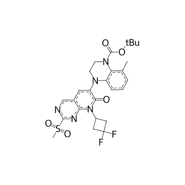 Cc1cccc2c1N(C(=O)OC(C)(C)C)CCN2c1cc2cnc(S(C)(=O)=O)nc2n(C2CC(F)(F)C2)c1=O